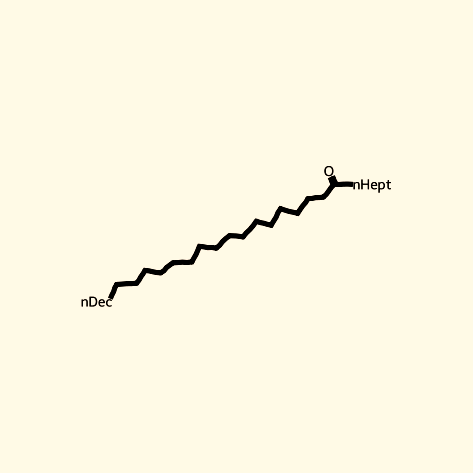 CCCCCCCCCCCCCCCCCCCCCCCCCCC(=O)CCCCCCC